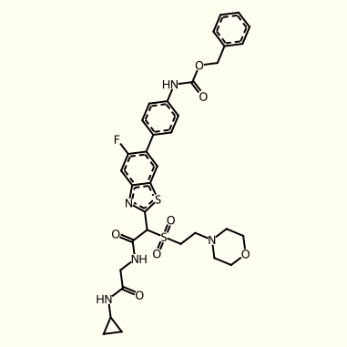 O=C(CNC(=O)C(c1nc2cc(F)c(-c3ccc(NC(=O)OCc4ccccc4)cc3)cc2s1)S(=O)(=O)CCN1CCOCC1)NC1CC1